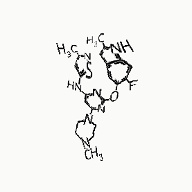 Cc1cc(Nc2cc(N3CCN(C)CC3)nc(Oc3cc4cc(C)[nH]c4cc3F)n2)sn1